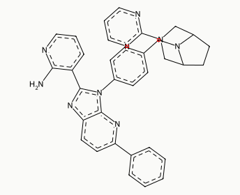 Nc1ncccc1-c1nc2ccc(-c3ccccc3)nc2n1-c1ccc(CN2C3CCC2CN(c2ncccn2)C3)cc1